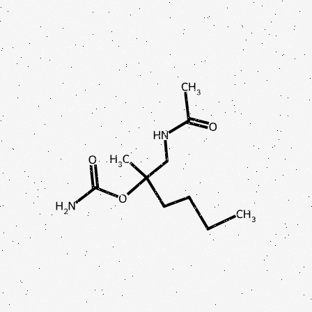 CCCCC(C)(CNC(C)=O)OC(N)=O